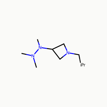 CC(C)CN1CC(N(C)N(C)C)C1